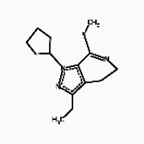 CCc1nn(C2CCCC2)c2c1CCN=C2SC